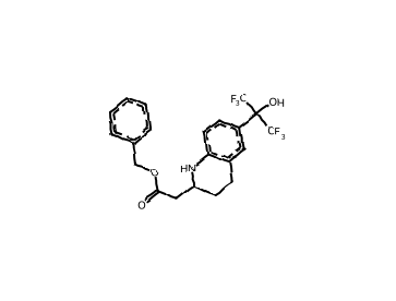 O=C(CC1CCc2cc(C(O)(C(F)(F)F)C(F)(F)F)ccc2N1)OCc1ccccc1